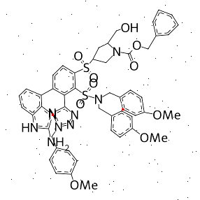 COc1ccc(CN(Cc2ccc(OC)cc2)S(=O)(=O)c2c(S(=O)(=O)C3CC(CO)N(C(=O)OCc4ccccc4)C3)ccc(-c3cccc4[nH]c(N)nc34)c2-c2nnn(Cc3ccc(OC)cc3)n2)cc1